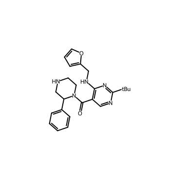 CC(C)(C)c1ncc(C(=O)N2CCNCC2c2ccccc2)c(NCc2ccco2)n1